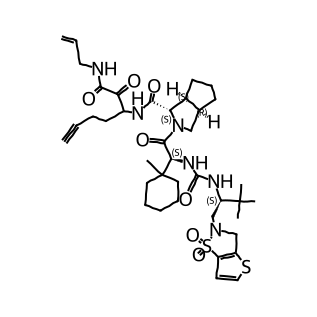 C#CCCC(NC(=O)[C@@H]1[C@H]2CCC[C@H]2CN1C(=O)[C@@H](NC(=O)N[C@H](CN1Cc2sccc2S1(=O)=O)C(C)(C)C)C1(C)CCCCC1)C(=O)C(=O)NCC=C